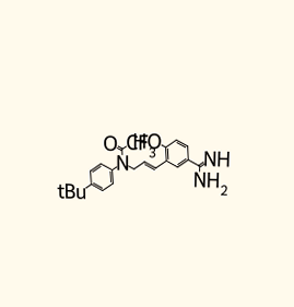 CC(C)(C)c1ccc(N(C/C=C/c2cc(C(=N)N)ccc2O)C(=O)C(F)(F)F)cc1